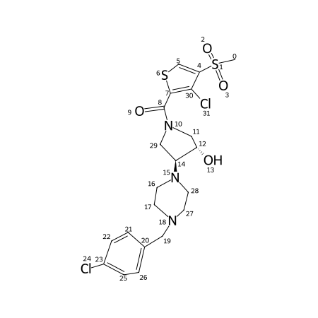 CS(=O)(=O)c1csc(C(=O)N2C[C@H](O)[C@@H](N3CCN(Cc4ccc(Cl)cc4)CC3)C2)c1Cl